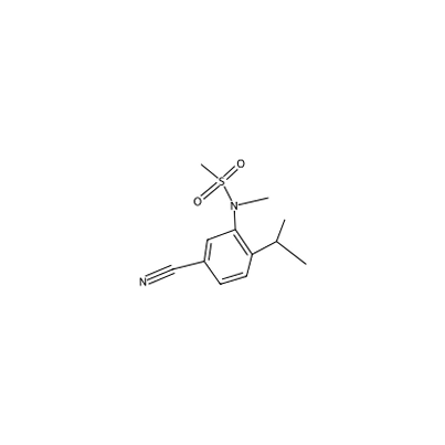 CC(C)c1ccc(C#N)cc1N(C)S(C)(=O)=O